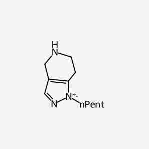 CCCCC[N+]1N=CC2=C1CCNC2